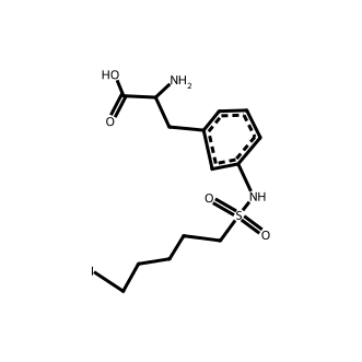 NC(Cc1cccc(NS(=O)(=O)CCCCCI)c1)C(=O)O